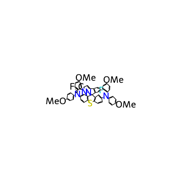 COc1ccc(N(c2ccc(OC)cc2)c2ccc3c(c2)C2(c4cc(N(c5ccc(OC)cc5)c5ccc(OC)cc5)ccc4S3)c3cc(F)ccc3-c3cc(C(F)(F)F)nn32)cc1